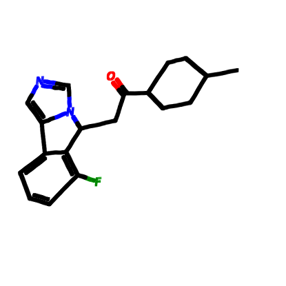 CC1CCC(C(=O)CC2c3c(F)cccc3-c3cncn32)CC1